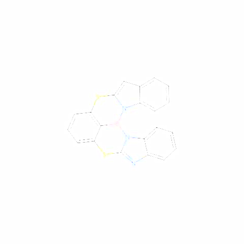 c1cc2c3c(c1)Sc1nc4ccccc4n1B3n1c(cc3ccccc31)S2